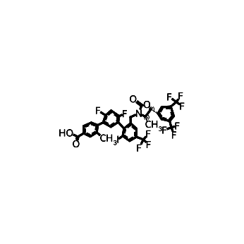 Cc1cc(C(=O)O)ccc1-c1cc(-c2c(I)cc(C(F)(F)F)cc2CN2C(=O)O[C@H](c3cc(C(F)(F)F)cc(C(F)(F)F)c3)[C@@H]2C)c(F)cc1F